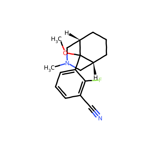 COC1(c2cccc(C#N)c2F)[C@@H]2CCC[C@H]1CN(C)C2